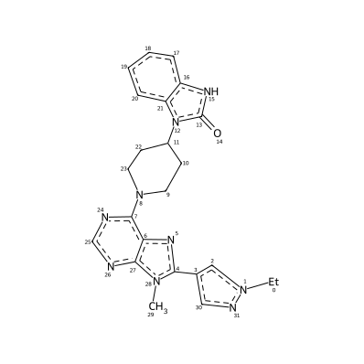 CCn1cc(-c2nc3c(N4CCC(n5c(=O)[nH]c6ccccc65)CC4)ncnc3n2C)cn1